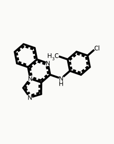 Cc1cc(Cl)ccc1Nc1nc2ccccc2n2cncc12